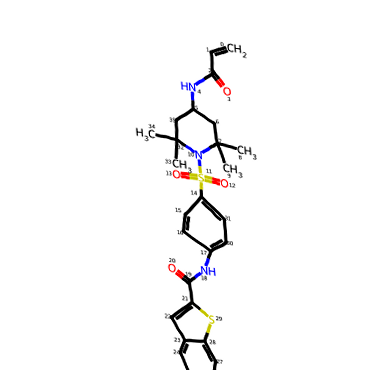 C=CC(=O)NC1CC(C)(C)N(S(=O)(=O)c2ccc(NC(=O)c3cc4ccccc4s3)cc2)C(C)(C)C1